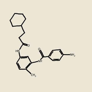 Cc1ccc(NC(=O)CCC2CCCCC2)cc1NC(=O)c1ccc(N)cc1